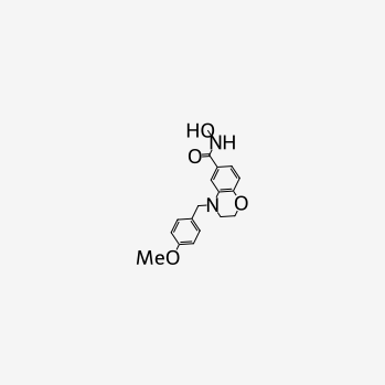 COc1ccc(CN2CCOc3ccc(C(=O)NO)cc32)cc1